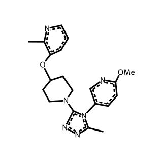 COc1ccc(-n2c(C)nnc2N2CCC(Oc3cccnc3C)CC2)cn1